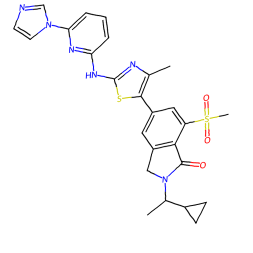 Cc1nc(Nc2cccc(-n3ccnc3)n2)sc1-c1cc2c(c(S(C)(=O)=O)c1)C(=O)N(C(C)C1CC1)C2